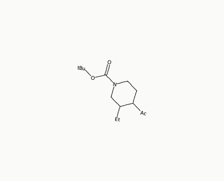 CCC1CN(C(=O)OC(C)(C)C)CCC1C(C)=O